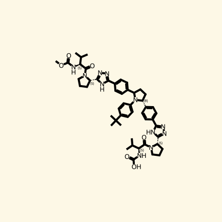 COC(=O)N[C@H](C(=O)N1CCC[C@H]1c1nnc(-c2ccc(C3CC[C@H](c4ccc(-c5nnc([C@@H]6CCCN6C(=O)[C@@H](NC(=O)O)C(C)C)[nH]5)cc4)N3c3ccc(C(C)(C)C)cc3)cc2)[nH]1)C(C)C